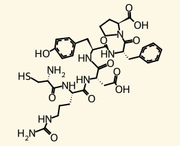 NC(=O)NCCC[C@H](NC(=O)[C@@H](N)CS)C(=O)N[C@@H](CC(=O)O)C(=O)N[C@@H](Cc1ccc(O)cc1)C(=O)N[C@@H](Cc1ccccc1)C(=O)N1CCC[C@H]1C(=O)O